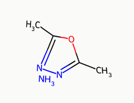 Cc1nnc(C)o1.N